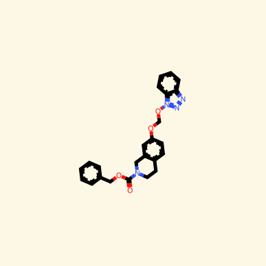 O=C(OCc1ccccc1)N1CCc2ccc(OCOn3nnc4ccccc43)cc2C1